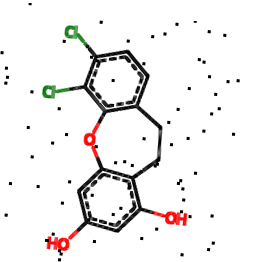 Oc1cc(O)c2c(c1)Oc1c(ccc(Cl)c1Cl)CC2